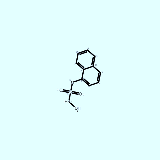 O=S(=O)(NO)Oc1cccc2ccccc12